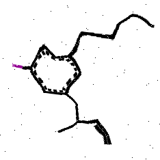 [CH2]C(C=C)c1cc(I)cc(CCCC)c1